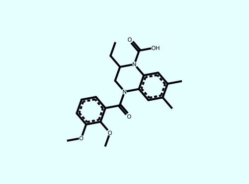 CCC1CN(C(=O)c2cccc(OC)c2OC)c2cc(C)c(C)cc2N1C(=O)O